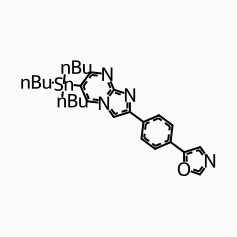 CCC[CH2][Sn]([CH2]CCC)([CH2]CCC)[c]1cnc2nc(-c3ccc(-c4cnco4)cc3)cn2c1